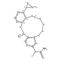 C=C(N)C(C)c1ccc2c(c1)CCCCCCc1c(cccc1C1CC1C)CC2CC